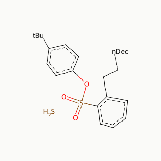 CCCCCCCCCCCCc1ccccc1S(=O)(=O)Oc1ccc(C(C)(C)C)cc1.S